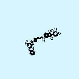 O=C1CCC(C2C(=O)c3ccc(NCCCC4CC(n5cc(-c6cnc7ccccc7n6)c(C(F)(F)F)n5)C4)cc3C2=O)C(=O)N1